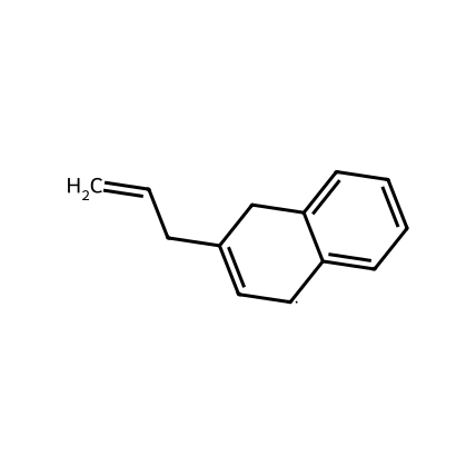 C=CCC1=C[CH]c2ccccc2C1